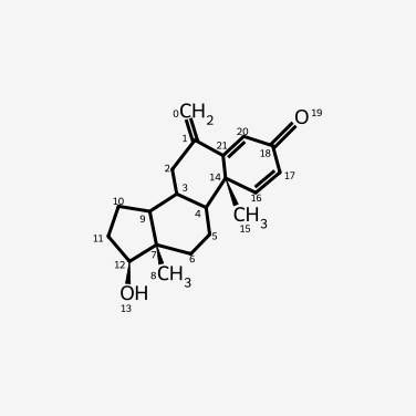 C=C1CC2C(CC[C@@]3(C)C2CC[C@@H]3O)[C@@]2(C)C=CC(=O)C=C12